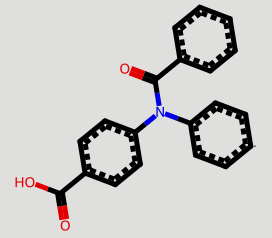 O=C(O)c1ccc(N(C(=O)c2ccccc2)c2cc[c]cc2)cc1